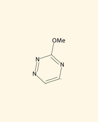 COc1n[c]cnn1